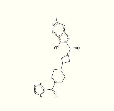 O=C(c1nccs1)N1CCC(C2CN(C(=O)c3sc4cc(F)ccc4c3Cl)C2)CC1